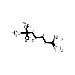 C=C(N)CCCCC(C)(C)CCC